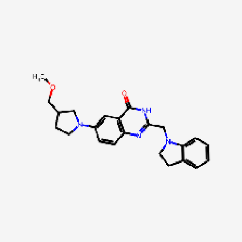 COCC1CCN(c2ccc3nc(CN4CCc5ccccc54)[nH]c(=O)c3c2)C1